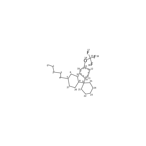 CCCCCC1CCC(C2(c3ccc(OC(F)(F)F)cc3)CCCCC2)CC1